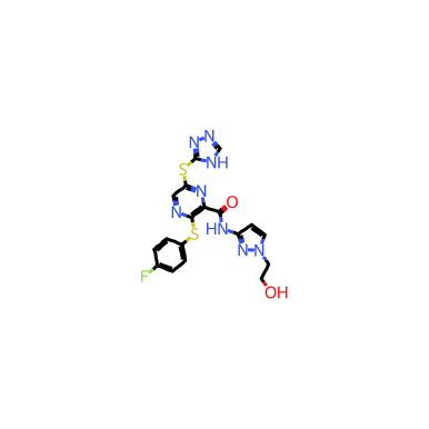 O=C(Nc1ccn(CCO)n1)c1nc(Sc2nnc[nH]2)cnc1Sc1ccc(F)cc1